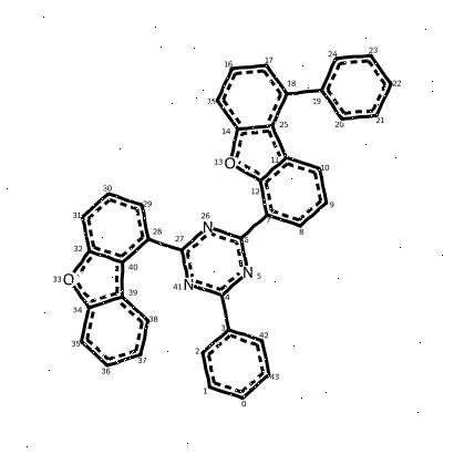 c1ccc(-c2nc(-c3cccc4c3oc3cccc(-c5ccccc5)c34)nc(-c3cccc4oc5ccccc5c34)n2)cc1